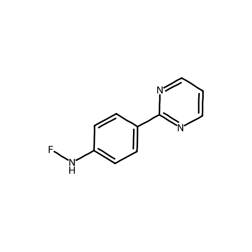 FNc1ccc(-c2ncccn2)cc1